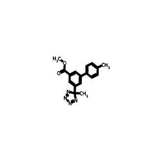 COC(=O)c1cc(-c2ccc(C)cc2)cc(C2(C)N=NN=N2)c1